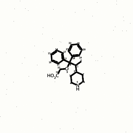 CC(C1CCNCC1)C(OCC(=O)O)(c1ccccc1)c1ccccc1